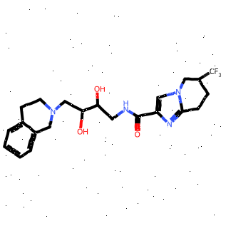 O=C(NCC(O)C(O)CN1CCc2ccccc2C1)c1cn2c(n1)CCC(C(F)(F)F)C2